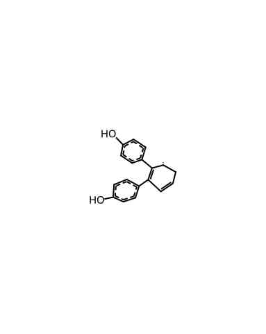 Oc1ccc(C2=C(c3ccc(O)cc3)C=CC[CH]2)cc1